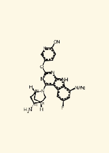 CNc1cc(F)cc2c1[nH]c1nc(Oc3ccc(C#N)nc3)nc(N3C[C@H]4C[C@@H]3C[C@H]4N)c12